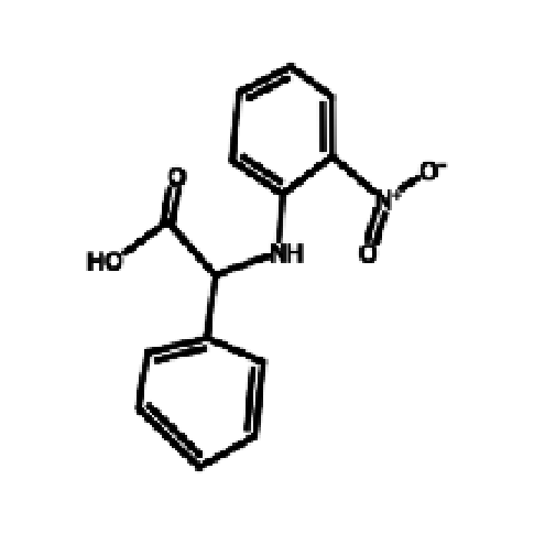 O=C(O)C(Nc1ccccc1[N+](=O)[O-])c1ccccc1